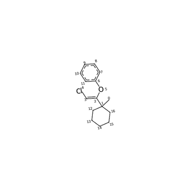 CC1(C(=CCl)Oc2ccccc2)CCCCC1